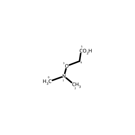 CN(C)OCC(=O)O